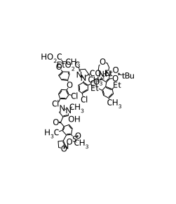 CC(Oc1ccc(Oc2ccc(Cl)cc2Cl)cc1)C(=O)O.CCOC(=O)C1=NN(c2ccc(Cl)cc2Cl)C(C)(C(=O)OCC)C1.CCc1cc(C)cc(CC)c1-c1c(OC(=O)C(C)(C)C)n2n(c1=O)CCOCC2.Cc1c(C(=O)c2cnn(C)c2O)ccc(S(C)(=O)=O)c1C1=NOCC1